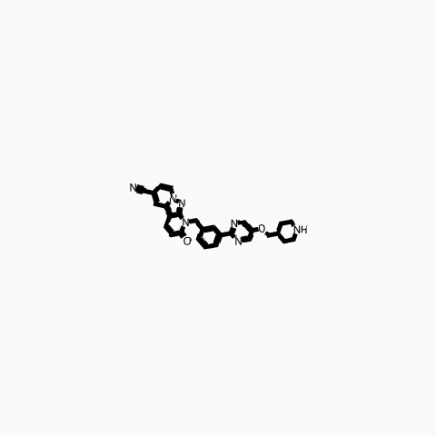 N#Cc1ccn2nc3c(ccc(=O)n3Cc3cccc(-c4ncc(OCC5CCNCC5)cn4)c3)c2c1